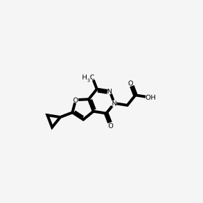 Cc1nn(CC(=O)O)c(=O)c2cc(C3CC3)oc12